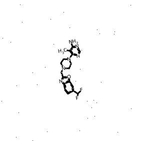 Cc1c(N)ncnc1N1CCN(Cc2nc3ccc(C(F)F)cc3o2)CC1